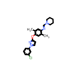 Cc1cc(Oc2ccn(-c3cccc(Cl)c3)n2)c(C)cc1/N=C/N1CCCCC1